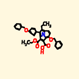 CCOC(=O)c1c(C(=O)O)c2c(OCc3ccccc3)ccc3c(CC)c(-c4ccc(OCc5ccccc5)cc4)c1n32